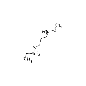 CC[SiH2]SCCC=[SiH]OC